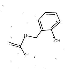 O=C([S])OCc1ccccc1O